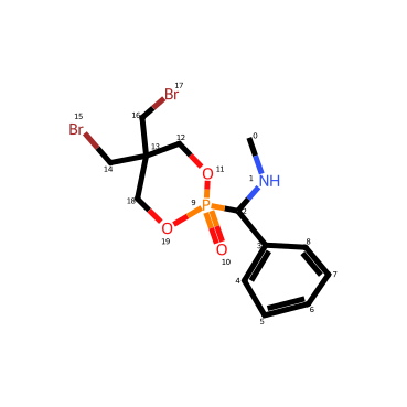 CNC(c1ccccc1)P1(=O)OCC(CBr)(CBr)CO1